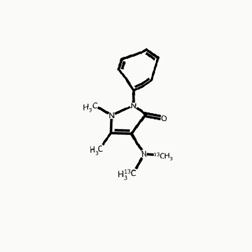 Cc1c(N([13CH3])[13CH3])c(=O)n(-c2ccccc2)n1C